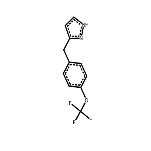 FC(F)(F)Oc1ccc(Cc2cc[nH]n2)cc1